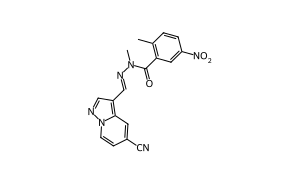 Cc1ccc([N+](=O)[O-])cc1C(=O)N(C)N=Cc1cnn2ccc(C#N)cc12